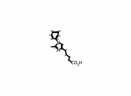 Cc1nc(CCCCC(=O)O)cn1-c1ccccc1